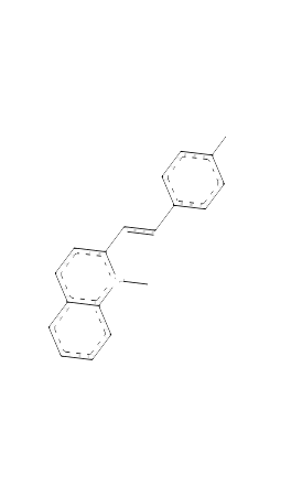 C[n+]1c(C=Cc2ccc(C=O)cc2)ccc2ccccc21